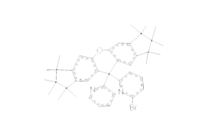 CC1(C)c2cc3c(cc2C(C)(C)C1(C)C)C(c1ccccn1)(c1cccc(Br)n1)c1cc2c(cc1O3)C(C)(C)C(C)(C)C2(C)C